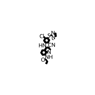 C=CC(=O)Nc1cccc2c(Nc3ccc(Sc4nccn4C)c(Cl)c3)c(C#N)cnc12